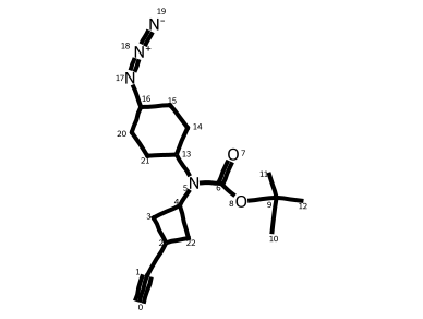 C#CC1CC(N(C(=O)OC(C)(C)C)C2CCC(N=[N+]=[N-])CC2)C1